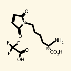 N[C@@H](CCCCN1C(=O)C=CC1=O)C(=O)O.O=C(O)C(F)(F)F